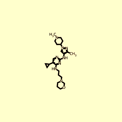 Cc1nn(C2CCN(C)CC2)cc1Nc1ncc(C2CC2)c(NCCCN2CCCOC2)n1